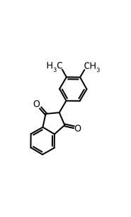 Cc1ccc(C2C(=O)c3ccccc3C2=O)cc1C